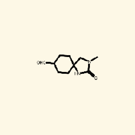 CN1CC2(CCC(C=O)CC2)NC1=O